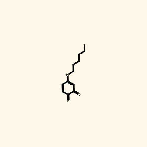 CCCCCCNC1=CC(=O)C(=O)C=C1